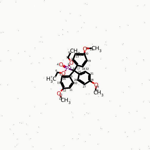 CCOP(=O)(OCC)C(c1ccc(OC)cc1)(c1ccc(OC)cc1)c1ccc(OC)cc1